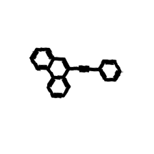 C(#Cc1cc2ccccc2c2ccccc12)c1cc[c]cc1